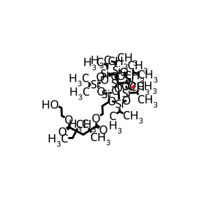 CCC(C)(CC(C)(C)C(=O)OCCC[Si]12O[Si]3(C(C)C)O[Si]4(C(C)C)O[Si](C(C)C)(O1)O[Si]1(C(C)C)O[Si](C(C)C)(O2)O[Si](C(C)C)(O3)O[Si](C(C)C)(O4)O1)C(=O)OCCO